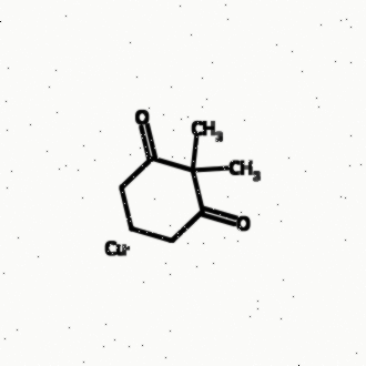 CC1(C)C(=O)CCCC1=O.[Cu]